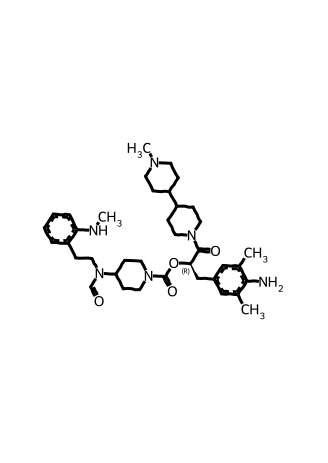 CNc1ccccc1CCN(C=O)C1CCN(C(=O)O[C@H](Cc2cc(C)c(N)c(C)c2)C(=O)N2CCC(C3CCN(C)CC3)CC2)CC1